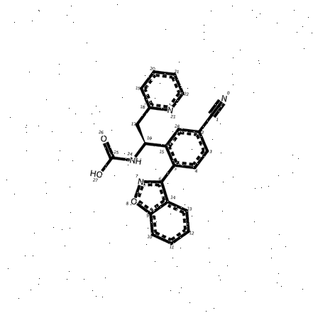 N#Cc1ccc(-c2noc3ccccc23)c([C@H](Cc2ccccn2)NC(=O)O)c1